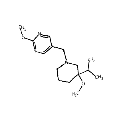 COc1ncc(CN2CCCC(OC)(C(C)C)C2)cn1